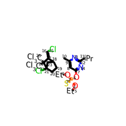 CCOP(=S)(OCC)Oc1cc(C)nc(C(C)C)n1.ClC=C1C2CCC(Cl)(C2)C1(C(Cl)(Cl)Cl)C(Cl)(Cl)Cl